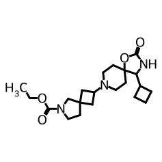 CCOC(=O)N1CCC2(CC(N3CCC4(CC3)OC(=O)NC4C3CCC3)C2)C1